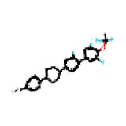 CCCc1ccc(C2CCC(c3ccc(-c4cc(F)c(OC(C)(F)F)c(F)c4)c(F)c3)CC2)cc1